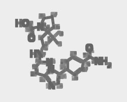 CC(C)(C)C1(CCNc2ccc3ncc(-c4ccc(C(N)=O)cc4)n3n2)CCCN1C(=O)O